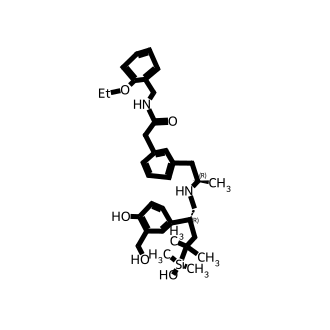 CCOc1ccccc1CNC(=O)Cc1cccc(C[C@@H](C)NC[C@H](CC(C)(C)[Si](C)(C)O)c2ccc(O)c(CO)c2)c1